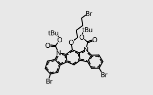 CC(C)(C)OC(=O)n1c2ccc(Br)cc2c2cc3c4cc(Br)ccc4n(C(=O)OC(C)(C)C)c3c(OCCCCBr)c21